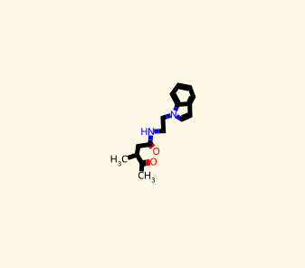 CC(=O)C(C)CC(=O)NCCn1ccc2ccccc21